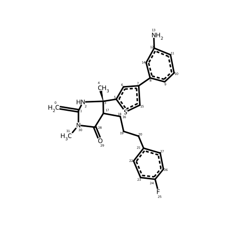 C=C1N[C@](C)(c2cc(-c3cccc(N)c3)cs2)C(CCCc2ccc(F)cc2)C(=O)N1C